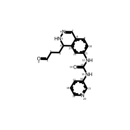 O=CCCC1NN=Cc2ccc(NC(=O)Nc3cccnc3)cc21